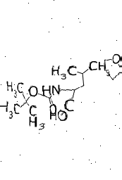 C1CCOC1.CC(C)CC(CO)NC(=O)OC(C)(C)C